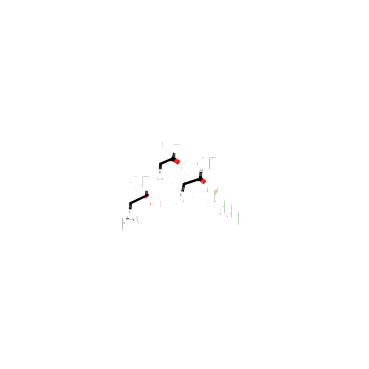 CC(=O)CC(=O)C(F)(F)F.CC(=O)CC(=O)C(F)(F)F.CC(=O)CC(=O)C(F)(F)F.[Cl-].[Cl-].[Cl-].[Cl-].[Ti+4]